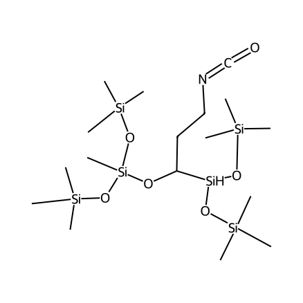 C[Si](C)(C)O[SiH](O[Si](C)(C)C)C(CCN=C=O)O[Si](C)(O[Si](C)(C)C)O[Si](C)(C)C